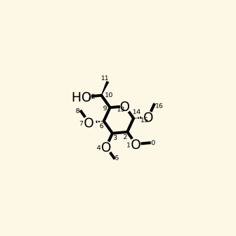 COC1C(OC)[C@H](OC)C([C@H](C)O)O[C@@H]1OC